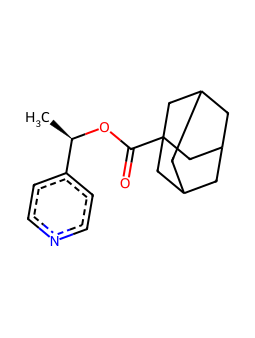 C[C@@H](OC(=O)C12CC3CC(CC(C3)C1)C2)c1ccncc1